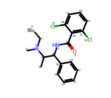 CCC(C)CN(C)C(C)C(NC(=O)c1c(Cl)cccc1Cl)c1ccccc1